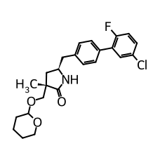 C[C@@]1(COC2CCCCO2)C[C@@H](Cc2ccc(-c3cc(Cl)ccc3F)cc2)NC1=O